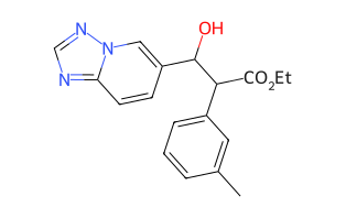 CCOC(=O)C(c1cccc(C)c1)C(O)c1ccc2ncnn2c1